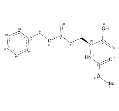 C=C(CC[C@H](NC(=O)OC(C)(C)C)C(=C)O)OCc1ccccc1